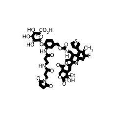 CC[C@@]1(O)C(=O)OCc2c1cc1n(c2=O)Cc2c-1nc1cc(F)c(C)c(-c3ccsc3)c1c2CNC(=O)OCc1ccc(O[C@@H]2O[C@H](C(=O)O)[C@@H](O)[C@H](O)[C@H]2O)c(NC(=O)CCNC(=O)CCN2C(=O)C=CC2=O)c1